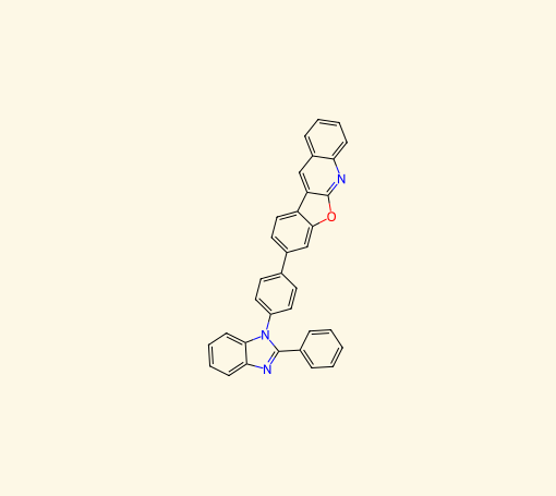 c1ccc(-c2nc3ccccc3n2-c2ccc(-c3ccc4c(c3)oc3nc5ccccc5cc34)cc2)cc1